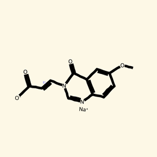 COc1ccc2ncn(/C=C/C(=O)[O-])c(=O)c2c1.[Na+]